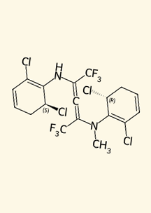 CN(C(=C=C(NC1=C(Cl)C=CC[C@@H]1Cl)C(F)(F)F)C(F)(F)F)C1=C(Cl)C=CC[C@H]1Cl